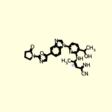 C/C(=C/C(=N)C#N)Nc1nc(-n2cnc3cc(-c4cnc(N5CCCC5=O)o4)ccc32)ccc1C(C)O